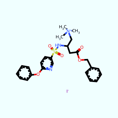 C[N+](C)(C)CC(CC(=O)OCc1ccccc1)NS(=O)(=O)c1ccc(Oc2ccccc2)nc1.[I-]